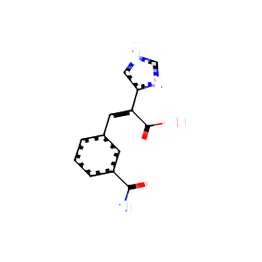 NC(=O)c1cccc(C=C(C(=O)O)c2c[nH]cn2)c1